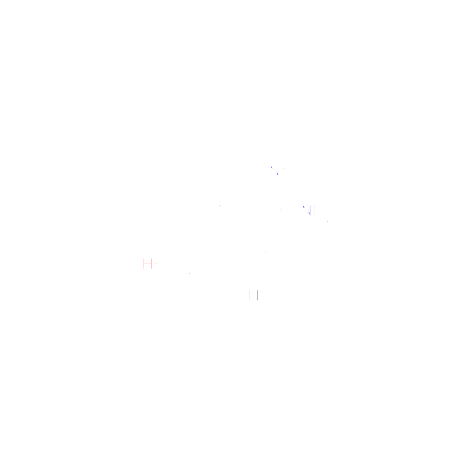 Cc1cc2c(N)nccc2cc1C(=O)O